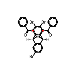 O=C(OC1C(OC(=O)c2ccccc2)[C@H]2c3cc(Br)ccc3[C@H]1c1cc(Br)c(Br)cc12)c1ccccc1